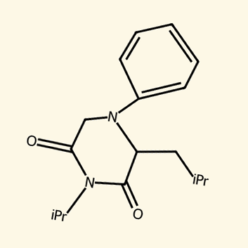 CC(C)CC1C(=O)N(C(C)C)C(=O)CN1c1ccccc1